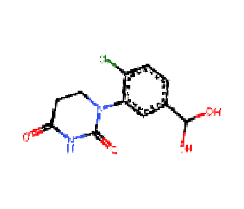 O=C1CCN(c2cc(C(O)O)ccc2Cl)C(=O)N1